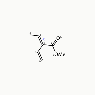 C=C/C(=C\C)C(=O)OC